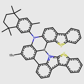 Cc1cc2c(cc1N1c3cc(C(C)(C)C)cc4c3B(c3c1ccc1c3sc3ccccc31)n1c3sc5ccccc5c3c3cccc-4c31)C(C)(C)CCC2(C)C